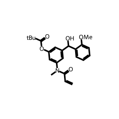 C=CC(=O)N(C)c1cc(OC(=O)C(C)(C)C)cc(C(O)c2ccccc2OC)c1